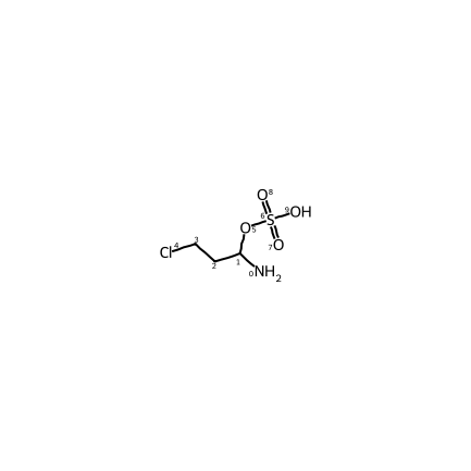 NC(CCCl)OS(=O)(=O)O